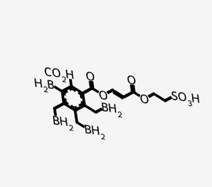 BCc1c(B)c(C(=O)O)c(C(=O)O/C=C/C(=O)OCCS(=O)(=O)O)c(CB)c1CB